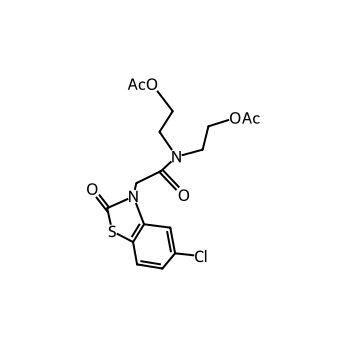 CC(=O)OCCN(CCOC(C)=O)C(=O)Cn1c(=O)sc2ccc(Cl)cc21